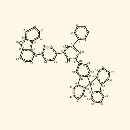 c1ccc(-c2nc(-c3ccc(-c4cccc5oc6ccccc6c45)cc3)nc(-c3ccc4c(c3)-c3ccccc3C43c4ccccc4-c4ccccc43)n2)cc1